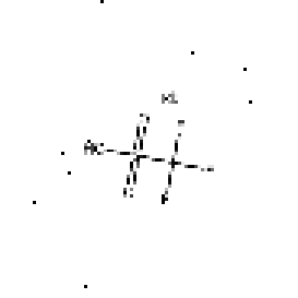 O=S(=O)(O)C(F)(F)F.[Rb]